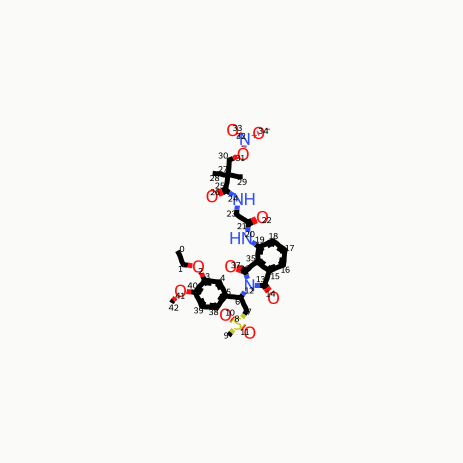 CCOc1cc(C(CS(C)(=O)=O)N2C(=O)c3cccc(NC(=O)CNC(=O)C(C)(C)CO[N+](=O)[O-])c3C2=O)ccc1OC